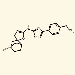 [BH3-][N+]12CCC(CC1)C1(CN=C(Nc3nc(-c4ccc(OC)cc4)cs3)O1)C2